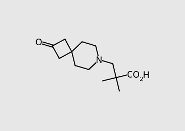 CC(C)(CN1CCC2(CC1)CC(=O)C2)C(=O)O